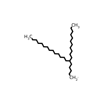 [CH2]CCCCC(CCCCCCCCCCC)CCCCCCCCCCCCCC